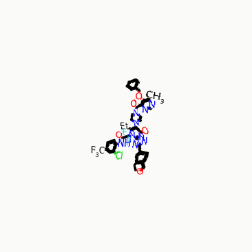 CCc1c(N2CCN(C(=O)c3ncnc(C)c3OCc3ccccc3)CC2)c(=O)n2nc(-c3ccc4c(c3)CCOC4)nc2n1C(F)(F)C(=O)Nc1ccc(C(F)(F)F)cc1Cl